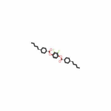 CCCCC[C@H]1CC[C@H](C(=O)Oc2ccc(OC(=O)[C@H]3CC[C@H](CCCCC)CC3)c(F)c2F)CC1